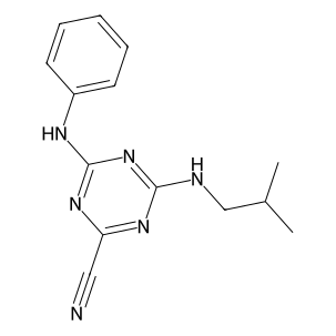 CC(C)CNc1nc(C#N)nc(Nc2ccccc2)n1